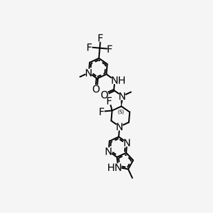 Cc1cc2nc(N3CC[C@H](N(C)C(=O)Nc4cc(C(F)(F)F)cn(C)c4=O)C(F)(F)C3)cnc2[nH]1